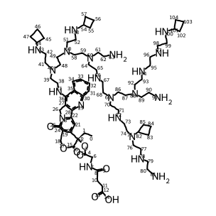 CC[C@@]1(OC(=O)CNC(=O)CCC(=O)O)C(=O)OCc2c1cc1n(c2=O)Cc2c-1nc1ccccc1c2NCCN(CCNC1CCC1)CCN(CCNC1CCC1)CCN(CCN)CCNCCN(CCNCCN(CCNCCN)C1CCC1)CCN(CCN)CCNCCNCCNC1CCC1